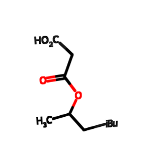 CCC(C)CC(C)OC(=O)CC(=O)O